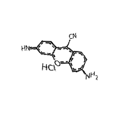 Cl.N#Cc1c2ccc(=N)cc-2oc2cc(N)ccc12